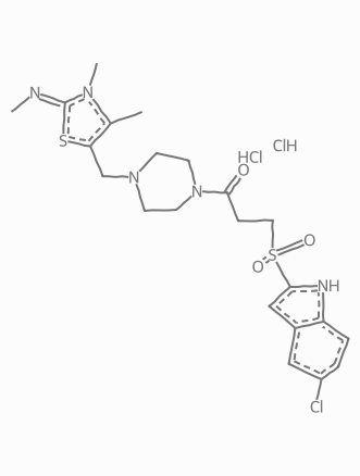 C/N=c1\sc(CN2CCN(C(=O)CCS(=O)(=O)c3cc4cc(Cl)ccc4[nH]3)CC2)c(C)n1C.Cl.Cl